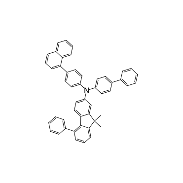 CC1(C)c2cc(N(c3ccc(-c4ccccc4)cc3)c3ccc(-c4cccc5ccccc45)cc3)ccc2-c2c(-c3ccccc3)cccc21